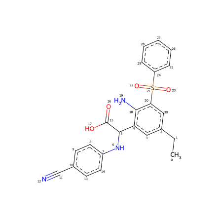 CCc1cc(C(Nc2ccc(C#N)cc2)C(=O)O)c(N)c(S(=O)(=O)c2ccccc2)c1